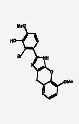 COc1ccc(-c2nc3c([nH]2)Oc2c(cccc2OC)C3)c(Br)c1O